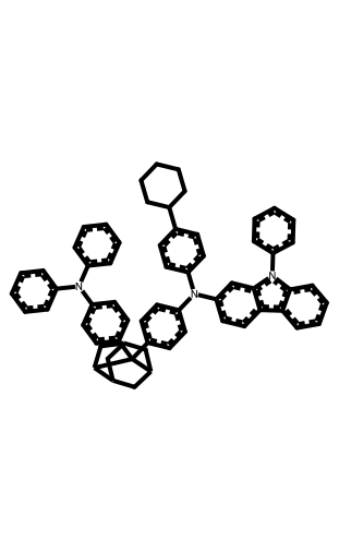 c1ccc(N(c2ccccc2)c2ccc(C3(c4ccc(N(c5ccc(C6CCCCC6)cc5)c5ccc6c7ccccc7n(-c7ccccc7)c6c5)cc4)C4CC5CC(C4)C3C5)cc2)cc1